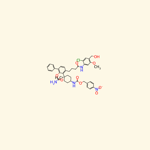 COc1cc(NC(=O)CCCc2ccc(-c3ccccc3)c(OC(N)=O)c2[C@]2(C)CC[C@@H](NC(=O)OCc3ccc([N+](=O)[O-])cc3)CC2)c(Cl)cc1CO